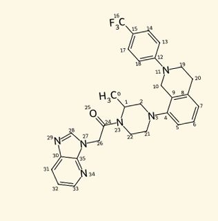 CC1CN(c2cccc3c2CN(c2ccc(C(F)(F)F)cc2)CC3)CCN1C(=O)Cn1cnc2cccnc21